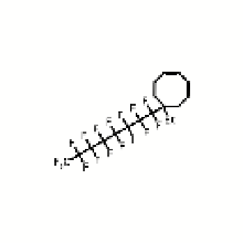 CCC1(C(F)(F)C(F)(F)C(F)(F)C(F)(F)C(F)(F)C(F)(F)C(F)(F)C(F)(F)F)CCC=CCCC1